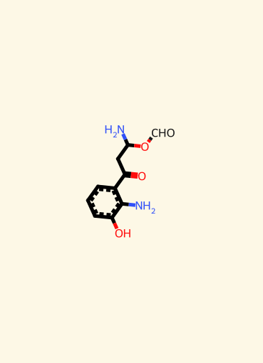 Nc1c(O)cccc1C(=O)CC(N)OC=O